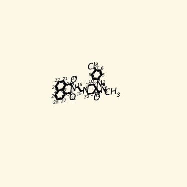 CN1CN(c2ccc(Cl)cc2)C2(CCN(CCN3C(=O)c4cccc5cccc(c45)C3=O)CC2)C1=O